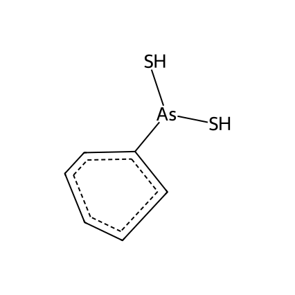 S[As](S)c1ccccc1